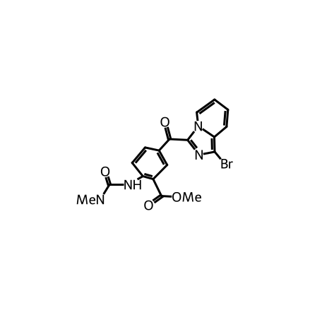 CNC(=O)Nc1ccc(C(=O)c2nc(Br)c3ccccn23)cc1C(=O)OC